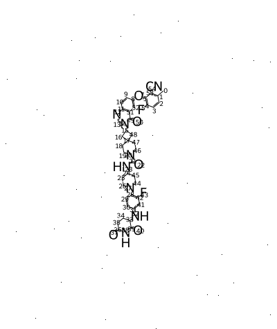 Cc1ccc(F)c(Oc2ccc3ncn(C4CC5(CCN(C(=O)NC6CCN(c7ccc(NC8CCC(=O)NC8=O)cc7F)CC6)CC5)C4)c(=O)c3c2)c1C#N